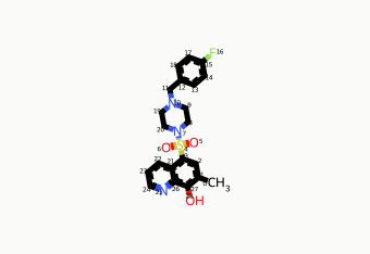 Cc1cc(S(=O)(=O)N2CCN(Cc3ccc(F)cc3)CC2)c2cccnc2c1O